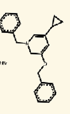 Br.C1=C(OCc2ccccc2)CN(Cc2ccccc2)C=C1C1CC1